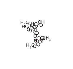 C=C=CC(OC(=O)[C@H](CC(=O)OC1=CC[C@@]2(O)[C@H]3Cc4ccc(OC)c5c4[C@@]2(CCN3C)[C@H]1O5)OC(=O)C[C@H](O)C(=O)O)C(=O)O